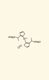 CCCCCCCC(C)C1=[C]([Zr+2][C]2=C(C(C)CCCCCCC)C=CC2)CC=C1.[Cl-].[Cl-]